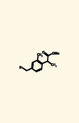 COC(=O)C(C)c1ccc(CBr)cc1C